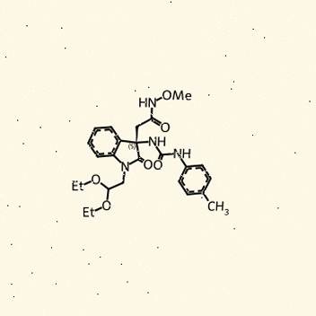 CCOC(CN1C(=O)[C@@](CC(=O)NOC)(NC(=O)Nc2ccc(C)cc2)c2ccccc21)OCC